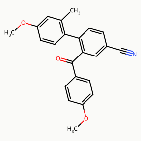 COc1ccc(C(=O)c2cc(C#N)ccc2-c2ccc(OC)cc2C)cc1